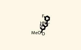 COC(=O)c1cnc2c(c1)C[C@](C)(c1cccc(F)c1)N2